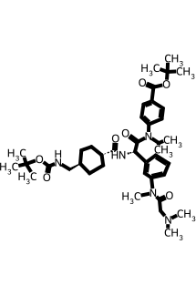 CC(C)N(C(=O)[C@@H](NC(=O)[C@H]1CC[C@H](CNC(=O)OC(C)(C)C)CC1)c1cccc(N(C)C(=O)CN(C)C)c1)c1ccc(C(=O)OC(C)(C)C)cc1